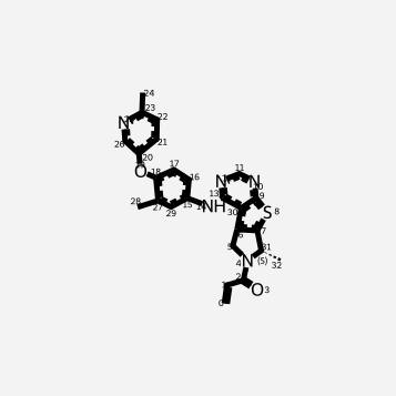 C=CC(=O)N1Cc2c(sc3ncnc(Nc4ccc(Oc5ccc(C)nc5)c(C)c4)c23)[C@@H]1C